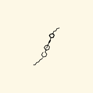 CCCCCC[C@H]1CC[C@H](C23CCC(C#Cc4ccc(CCCC)cc4)(CC2)CC3)CC1